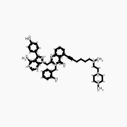 CN(CCCCC#Cc1cccc2nc(Cn3nc(-c4ccc(O)cc4)c4c(N)ncnc43)n(Cc3ccccc3Cl)c(=O)c12)CCN1CCN(C)CC1